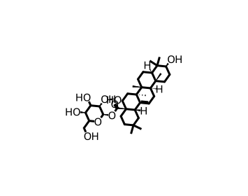 CC1(C)CC[C@]2(C(=O)O[C@H]3OC(CO)[C@@H](O)C(O)[C@H]3O)C(O)C[C@]3(C)C(=CC[C@@H]4[C@@]5(C)CC[C@H](O)C(C)(C)[C@@H]5CC[C@]43C)[C@@H]2C1